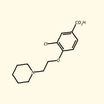 O=C(O)c1ccc(OCCN2CCCCC2)c(Cl)c1